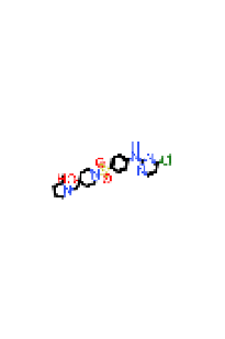 CC1CCCN1CC1(O)CCN(S(=O)(=O)c2ccc(Nc3nccc(Cl)n3)cc2)CC1